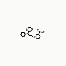 O=C(O)C1CCCN(CCC=C(c2ccccc2)c2cnccn2)C1